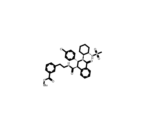 CC(C)(C)OC(=O)c1cccc(CCNC(=O)[C@@H]2c3ccccc3C(=O)N([C@H]3CCCC[C@@H]3NS(C)(=O)=O)[C@H]2c2ccc(Cl)cc2)c1